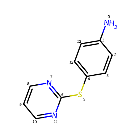 Nc1ccc(Sc2ncccn2)cc1